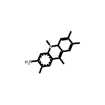 CC1=CC2=C(C)c3cc(C)c(N)cc3N(C)C2C=C1C